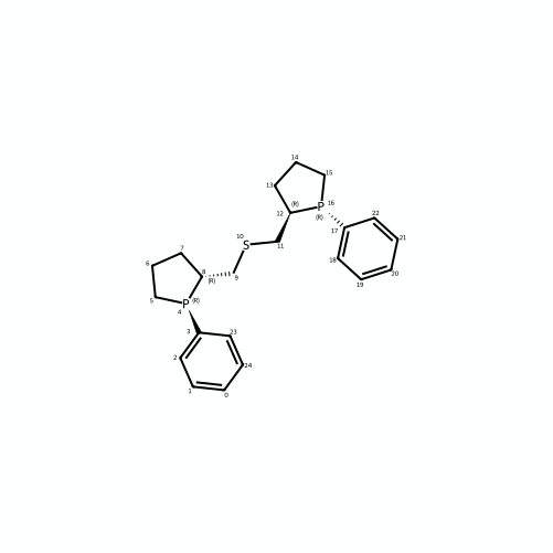 c1ccc([P@@]2CCC[C@@H]2CSC[C@H]2CCC[P@]2c2ccccc2)cc1